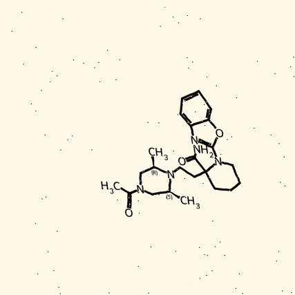 CC(=O)N1C[C@@H](C)N(CCC2(C(N)=O)CCCCN2c2nc3ccccc3o2)[C@@H](C)C1